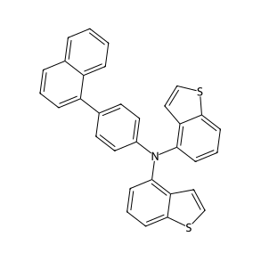 c1ccc2c(-c3ccc(N(c4cccc5sccc45)c4cccc5sccc45)cc3)cccc2c1